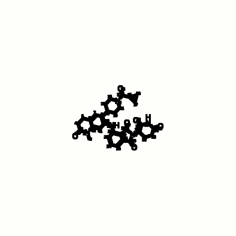 CN1C(=O)CCc2cc(C3CCN(C(=O)C4CC4)CC3)c(Nc3cccc4c3C(=O)N(C3CCC(=O)NC3=O)C4=O)cc21